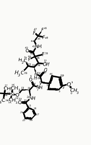 COc1ccc([C@H](NC(=O)[C@H](CO[Si](C)(C)C(C)(C)C)NC(=O)c2ccccc2)C(=O)N[C@@H](C(C)C)C(O)C(F)(F)C(=O)NCC(F)(F)F)cc1